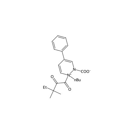 CCCC[N+]1(C(=O)C(=O)C(C)(C)CC)C=CC(c2ccccc2)=CN1C(=O)[O-]